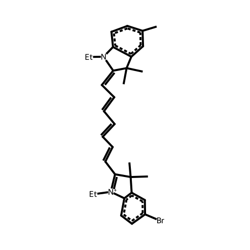 CCN1/C(=C/C=C/C=C/C=C/C2=[N+](CC)c3ccc(Br)cc3C2(C)C)C(C)(C)c2cc(C)ccc21